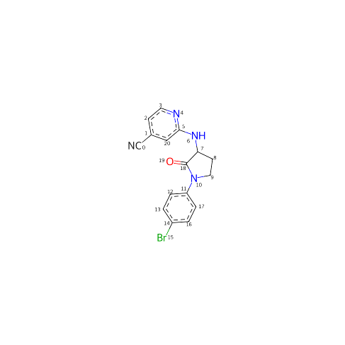 N#Cc1ccnc(NC2CCN(c3ccc(Br)cc3)C2=O)c1